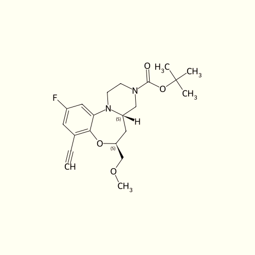 C#Cc1cc(F)cc2c1O[C@H](COC)C[C@H]1CN(C(=O)OC(C)(C)C)CCN21